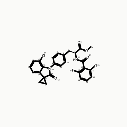 COC(=O)[C@H](Cc1ccc(N2C(=O)C3(CC3)c3cccc(Cl)c32)cc1)NC(=O)c1c(F)cccc1Cl